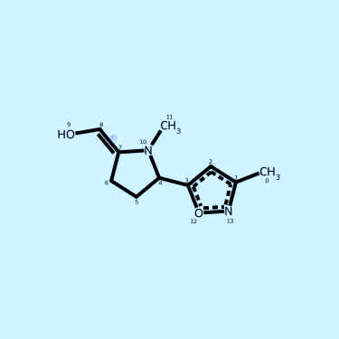 Cc1cc(C2CC/C(=C\O)N2C)on1